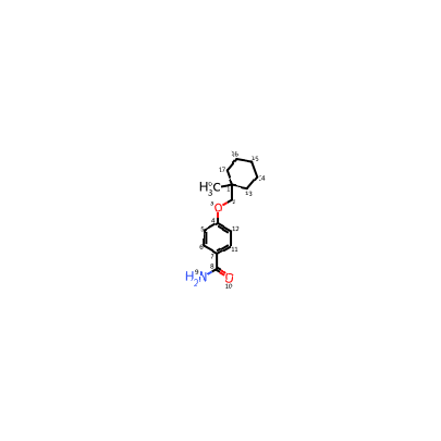 CC1(COc2ccc(C(N)=O)cc2)CCCCC1